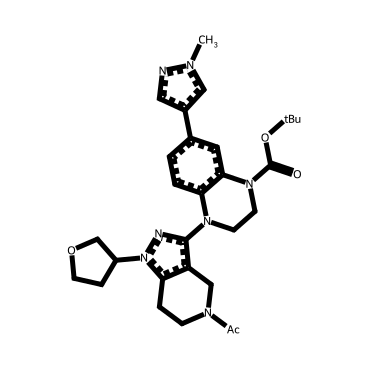 CC(=O)N1CCc2c(c(N3CCN(C(=O)OC(C)(C)C)c4cc(-c5cnn(C)c5)ccc43)nn2C2CCOC2)C1